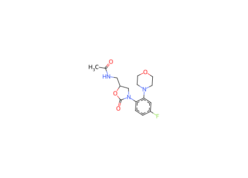 CC(=O)NCC1CN(c2ccc(F)cc2N2CCOCC2)C(=O)O1